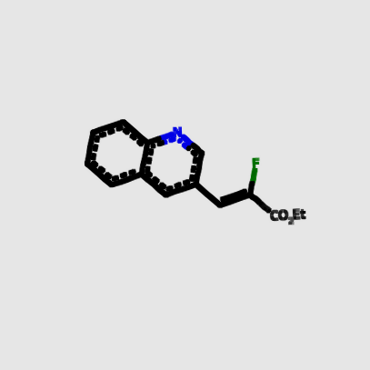 CCOC(=O)/C(F)=C/c1cnc2ccccc2c1